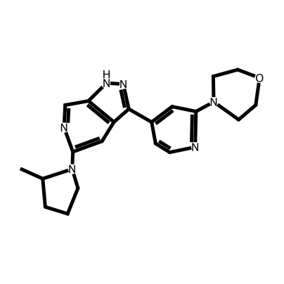 CC1CCCN1c1cc2c(-c3ccnc(N4CCOCC4)c3)n[nH]c2cn1